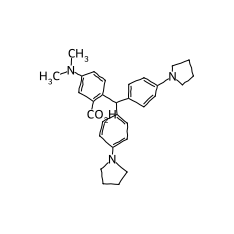 CN(C)c1ccc(C(c2ccc(N3CCCC3)cc2)c2ccc(N3CCCC3)cc2)c(C(=O)O)c1